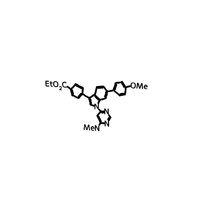 CCOC(=O)c1ccc(-c2cn(-c3cc(NC)ncn3)c3cc(-c4ccc(OC)cc4)ccc23)cc1